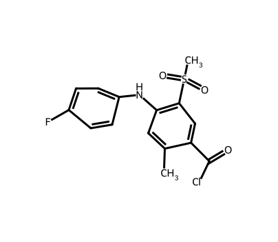 Cc1cc(Nc2ccc(F)cc2)c(S(C)(=O)=O)cc1C(=O)Cl